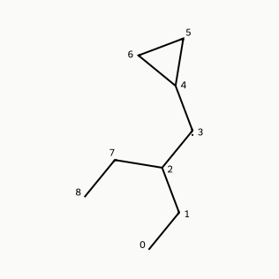 CCC([CH]C1CC1)CC